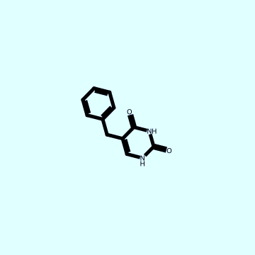 O=c1[nH]cc(Cc2ccccc2)c(=O)[nH]1